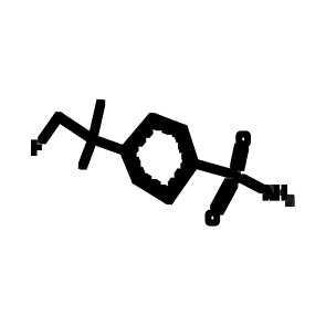 CC(C)(CF)c1ccc(S(N)(=O)=O)cc1